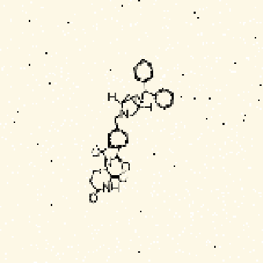 O=C1CCC(N2C(=O)c3ccc(CN4C[C@@H]5C[C@H]4CN5C(c4ccccc4)c4ccccc4)cc3C2=O)C(=O)N1